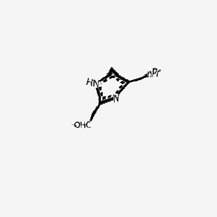 CCCc1c[nH]c([C]=O)n1